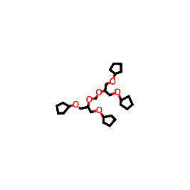 C1CCC(OCC(COC2CCCC2)OCOC(COC2CCCC2)COC2CCCC2)C1